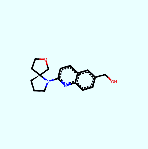 OCc1ccc2nc(N3CCC[C@]34CCOC4)ccc2c1